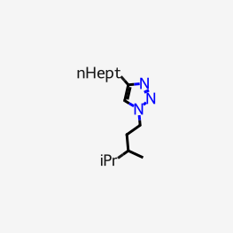 CCCCCCCc1cn(CCC(C)C(C)C)nn1